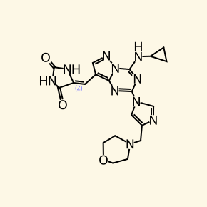 O=C1NC(=O)/C(=C/c2cnn3c(NC4CC4)nc(-n4cnc(CN5CCOCC5)c4)nc23)N1